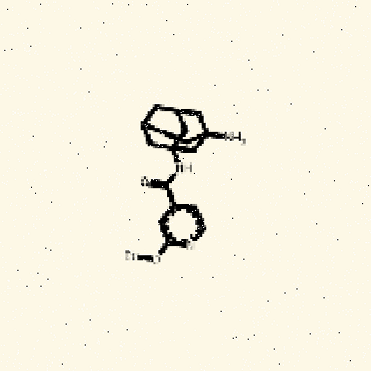 CCOc1cc(C(=O)NC23CC4CC(CC(N)(C4)C2)C3)ccn1